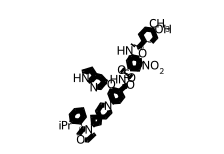 CC(C)c1ccccc1[C@H]1COCCN1C1CC2(CCN(c3ccc(C(=O)NS(=O)(=O)c4cc5c(c([N+](=O)[O-])c4)O[C@@H]([C@H]4CC[C@](C)(O)CC4)CN5)c(Oc4cnc5[nH]ccc5c4)c3)CC2)C1